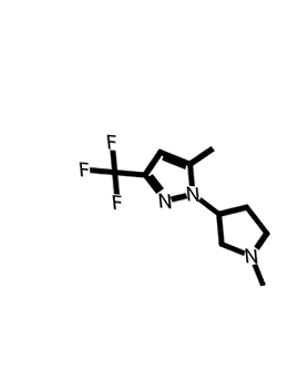 Cc1cc(C(F)(F)F)nn1C1CCN(C)C1